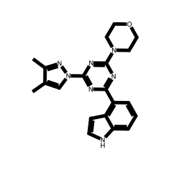 Cc1cn(-c2nc(-c3cccc4[nH]ccc34)nc(N3CCOCC3)n2)nc1C